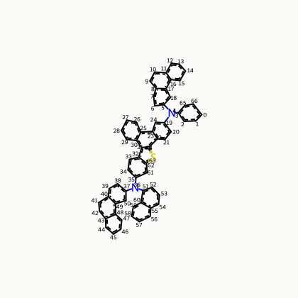 c1ccc(N(c2ccc3ccc4ccccc4c3c2)c2ccc3c(c2)c2ccccc2c2c4ccc(N(c5ccc6ccc7ccccc7c6c5)c5cccc6ccccc56)cc4sc32)cc1